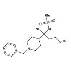 C=CCCC(C#N)(NS(=O)(=O)C(C)(C)C)C1CCN(Cc2ccccc2)CC1